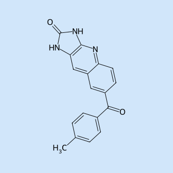 Cc1ccc(C(=O)c2ccc3nc4[nH]c(=O)[nH]c4cc3c2)cc1